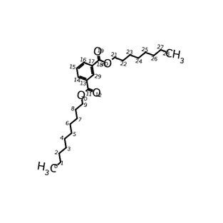 CCCCCCCCCCOC(=O)c1cccc(C(=O)OCCCCCCCC)c1